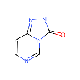 O=c1[nH]nc2ccncn12